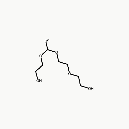 [CH2]CCC(OCCO)OCCOCCO